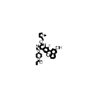 C=CC(=O)N1CCC(n2cnc3c(OCC4CCCN4C)nc4c(F)c(-c5cc(O)cc6ccccc56)c(Cl)cc4c32)CC1